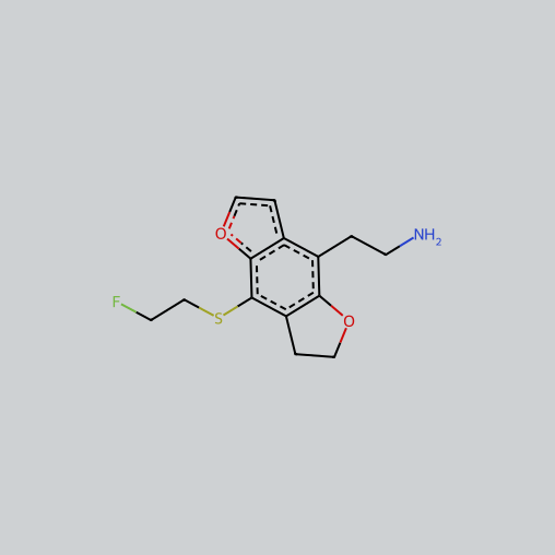 NCCc1c2c(c(SCCF)c3occc13)CCO2